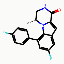 C[C@@H]1CNC(=O)c2cc3cc(F)cc(-c4ccc(F)cc4)c3n21